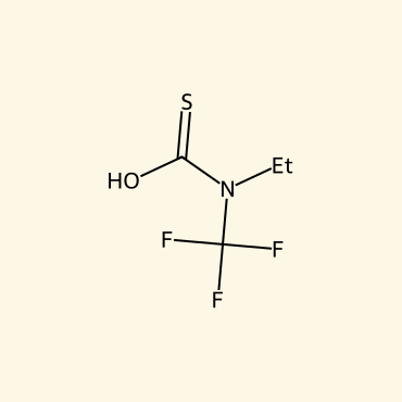 CCN(C(O)=S)C(F)(F)F